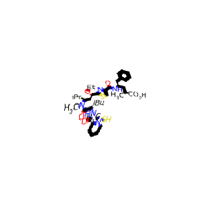 CCO[C@H](C[C@H](C(C)C)N(C)C(=O)C(NC(=O)[C@H]1CCCC[N+]1(C)S)[C@@H](C)CC)c1nc(C(=O)N[C@@H](Cc2ccccc2)C[C@H](C)C(=O)O)cs1